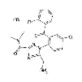 Br.CN(C)C(=O)c1nc(CN)n(-c2ccc(Cl)cc2C(=O)c2ccccc2Cl)n1